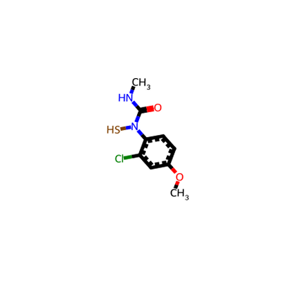 CNC(=O)N(S)c1ccc(OC)cc1Cl